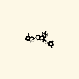 Cc1cc(C)cc(OCC(C)(F)c2cnc(C)nc2C2CCN(C(=O)Cc3c(F)cccc3F)CC2)c1